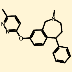 Cc1ccc(Oc2ccc3c(c2)CN(C)CCC3c2ccccc2)nn1